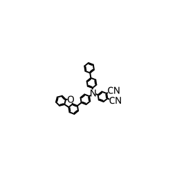 N#Cc1ccc(N(c2ccc(-c3ccccc3)cc2)c2ccc(-c3cccc4c3oc3ccccc34)cc2)cc1C#N